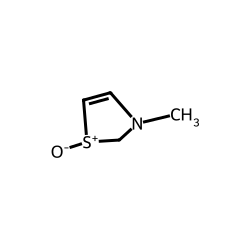 CN1C=C[S+]([O-])C1